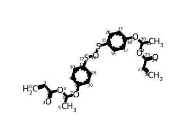 C=CC(=O)OC(C)Oc1ccc(SOSc2ccc(OC(C)OC(=O)C=C)cc2)cc1